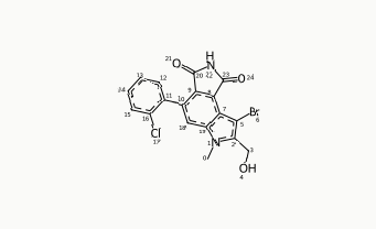 Cn1c(CO)c(Br)c2c3c(c(-c4ccccc4Cl)cc21)C(=O)NC3=O